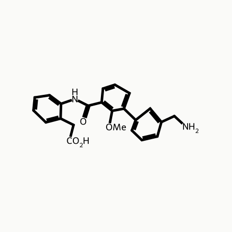 COc1c(C(=O)Nc2ccccc2CC(=O)O)cccc1-c1cccc(CN)c1